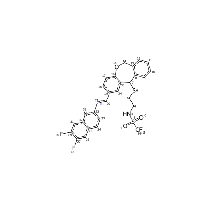 O=S(=O)(NCCSC1c2ccccc2COc2ccc(/C=C/c3ccc4cc(F)c(F)cc4n3)cc21)C(F)(F)F